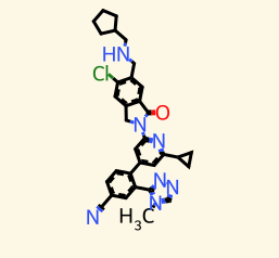 Cn1cnnc1-c1cc(C#N)ccc1-c1cc(C2CC2)nc(N2Cc3cc(Cl)c(CNCC4CCCC4)cc3C2=O)c1